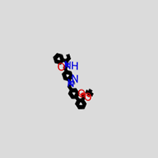 CCC(NC(=O)c1ccc2c(c1)ncn2Cc1ccc(-c2ccccc2C(=O)OC(C)(C)C)cc1)c1ccccc1